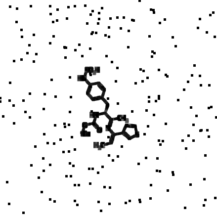 C/C=C(\N=C(/C)[C@H](Cc1ccc(NS(=O)(=O)O)cc1)NC(=O)OC(C)(C)C)c1ccsc1